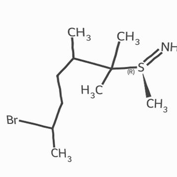 CC(Br)CCC(C)C(C)(C)[S@](C)=N